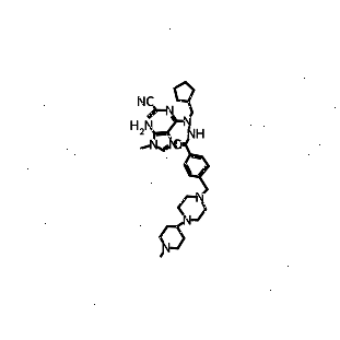 C=C(C#N)/N=C(\c1ncn(C)c1N)N(CC1CCCC1)NC(=O)c1ccc(CN2CCN(C3CCN(C)CC3)CC2)cc1